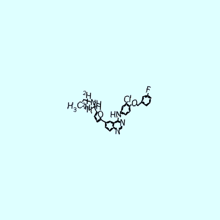 [2H]C([2H])(CC)NC([2H])([2H])c1ccc(-c2ccc3ncnc(Nc4ccc(OCc5cccc(F)c5)c(Cl)c4)c3c2)o1